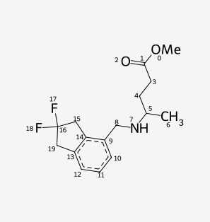 COC(=O)CCC(C)NCc1cccc2c1CC(F)(F)C2